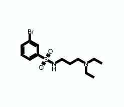 CCN(CC)CCCNS(=O)(=O)c1cccc(Br)c1